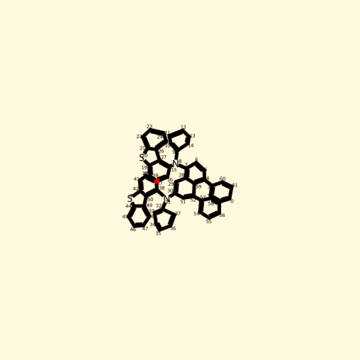 c1ccc(-c2ccc(N(c3ccccc3)c3cccc4sc5ccccc5c34)c3cc(N(c4ccccc4)c4cccc5sc6ccccc6c45)cc(-c4ccccc4)c23)cc1